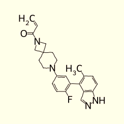 C=CC(=O)N1CC2(CCN(c3ccc(F)c(-c4c(C)ccc5[nH]ncc45)c3)CC2)C1